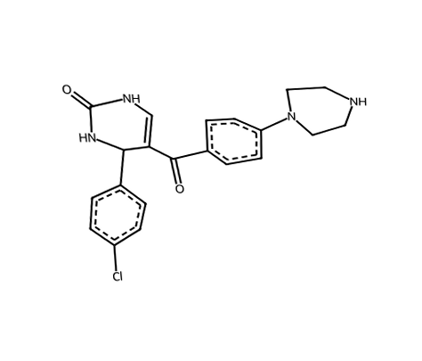 O=C1NC=C(C(=O)c2ccc(N3CCNCC3)cc2)C(c2ccc(Cl)cc2)N1